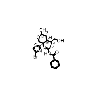 C[C@H]1C[C@H]2[C@@H](CO)OC(NC(=O)c3ccccc3)=N[C@@]2(c2nc(Br)cs2)CO1